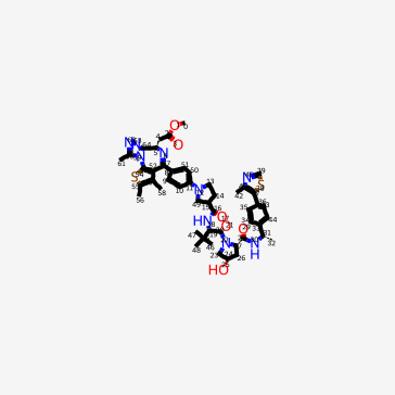 COC(=O)C[C@@H]1N=C(c2ccc(N3CCC(C(=O)NC(C(=O)N4C[C@H](O)C[C@H]4C(=O)N[C@@H](C)c4ccc(-c5scnc5C)cc4)C(C)(C)C)C3)cc2)c2c(sc(C)c2C)-n2c(C)nnc21